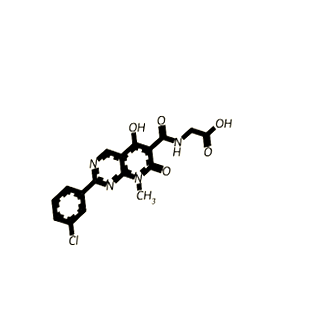 Cn1c(=O)c(C(=O)NCC(=O)O)c(O)c2cnc(-c3cccc(Cl)c3)nc21